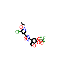 CC(C)Oc1ncc(-c2nc(-c3ccc(OS(=O)(=O)C(F)(F)F)c4occc34)no2)cc1Cl